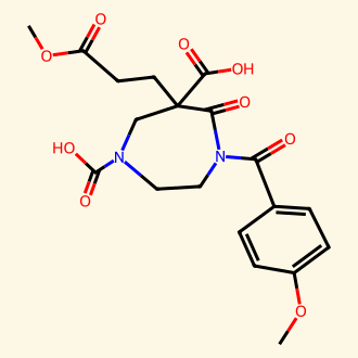 COC(=O)CCC1(C(=O)O)CN(C(=O)O)CCN(C(=O)c2ccc(OC)cc2)C1=O